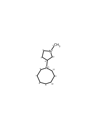 CN1CCC(N2CCCCCCC2)C1